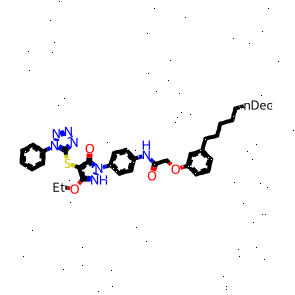 CCCCCCCCCCCCCCCc1cccc(OCC(=O)Nc2ccc(-n3[nH]c(OCC)c(Sc4nnnn4-c4ccccc4)c3=O)cc2)c1